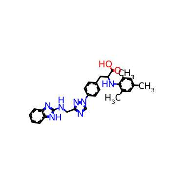 Cc1cc(C)c(NC(Cc2ccc(-n3cnc(CNc4nc5ccccc5[nH]4)n3)cc2)C(=O)O)c(C)c1